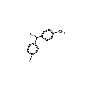 CC(=O)C(c1ccc(C)cc1)c1ccc(F)cc1